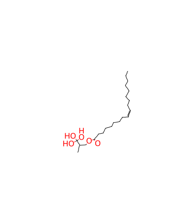 CCCCCCCC/C=C\CCCCCCCC(=O)OCC(C)C(O)(O)O